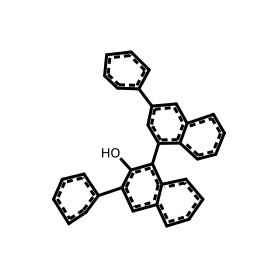 Oc1c(-c2ccccc2)cc2ccccc2c1-c1cc(-c2ccccc2)cc2ccccc12